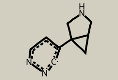 [c]1nnccc1C12CNCC1C2